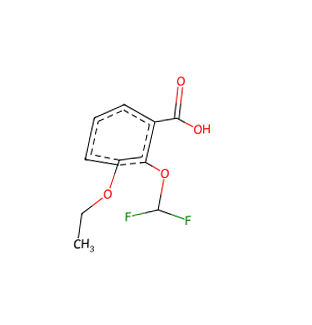 CCOc1cccc(C(=O)O)c1OC(F)F